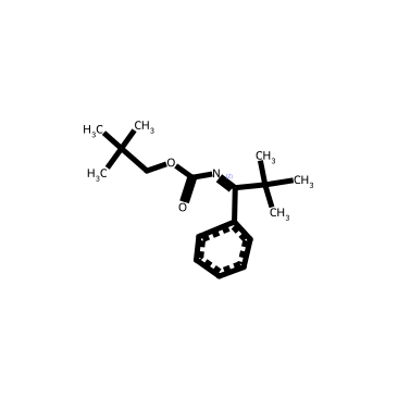 CC(C)(C)COC(=O)/N=C(\c1ccccc1)C(C)(C)C